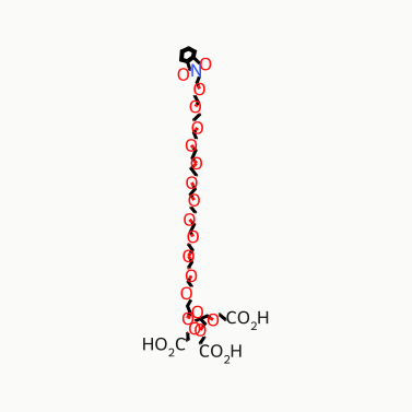 O=C(O)CCOCC(COCCC(=O)O)(COCCC(=O)O)OC(=O)CCOCCOCCOCCOCCOCCOCCOCCOCCOCCOCCOCCOCCN1C(=O)c2ccccc2C1=O